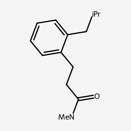 CNC(=O)CCc1ccccc1CC(C)C